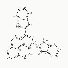 c1cc2ccc3c(-c4nc5ccccc5[nH]4)cc(-c4nc5ccccc5[nH]4)c4ccc(c1)c2c34